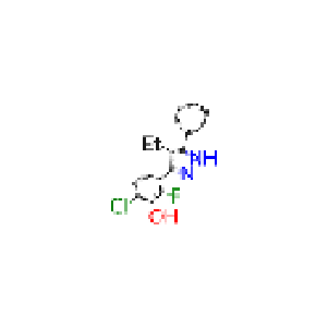 CCc1c(-c2ccc(Cl)c(O)c2F)n[nH]c1-c1ccccc1